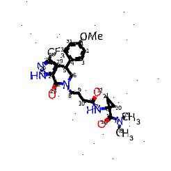 COc1ccc(C2CN(CCCC(=O)NC3(C(=O)N(C)C)CC3)C(=O)c3[nH]nc(C(F)(F)F)c32)cc1